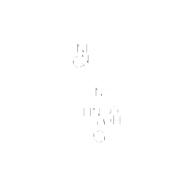 CCC(CC(=O)NC(CCN(CCCCc1ccc2c(n1)NCCC2)C1CC1)C(=O)O)c1ccccc1